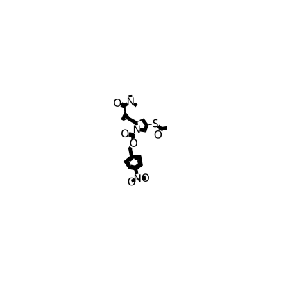 CC(=O)S[C@H]1C[C@@H]([C@@H]2C[C@H]2C(=O)N(C)C)N(C(=O)OCc2ccc([N+](=O)[O-])cc2)C1